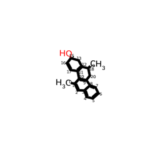 Cc1cc2ccccc2c2c1C1=C(CC(O)C=C1)C(C)C2